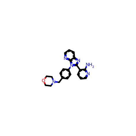 Nc1ncccc1-c1nc2cccnc2n1-c1ccc(CN2CCOCC2)cc1